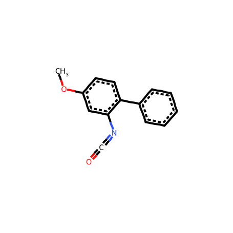 COc1ccc(-c2ccccc2)c(N=C=O)c1